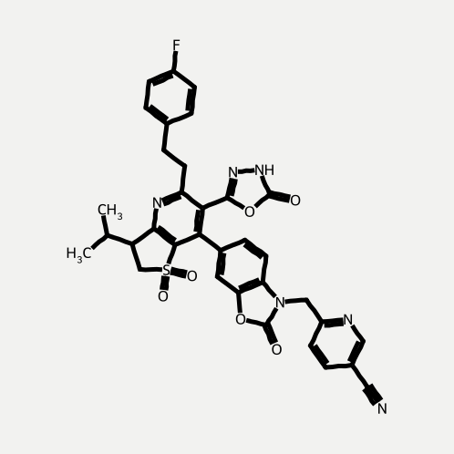 CC(C)C1CS(=O)(=O)c2c1nc(CCc1ccc(F)cc1)c(-c1n[nH]c(=O)o1)c2-c1ccc2c(c1)oc(=O)n2Cc1ccc(C#N)cn1